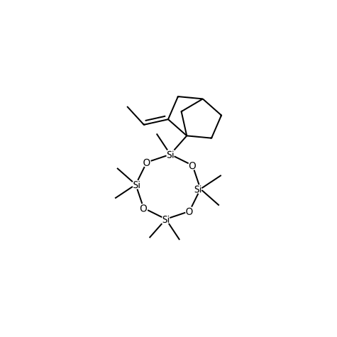 CC=C1CC2CCC1([Si]1(C)O[Si](C)(C)O[Si](C)(C)O[Si](C)(C)O1)C2